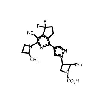 CC1CCN1c1nc(-c2cnn(C3CN(C(=O)O)C3C(C)(C)C)c2)c2c(c1C#N)C(F)(F)CC2